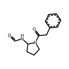 O=CNC1CCCN1C(=O)Cc1ccccc1